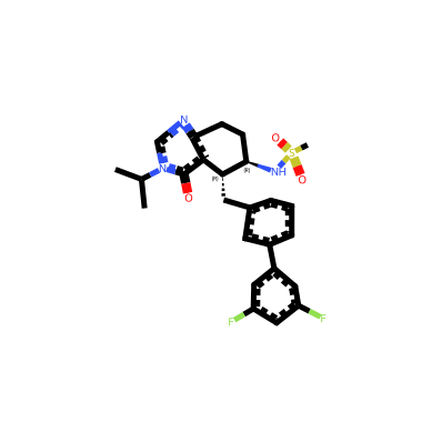 CC(C)n1cnc2c(c1=O)[C@@H](Cc1cccc(-c3cc(F)cc(F)c3)c1)[C@H](NS(C)(=O)=O)CC2